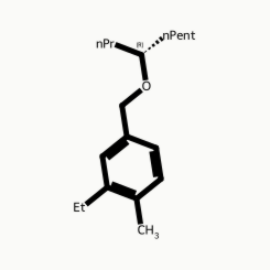 CCCCC[C@@H](CCC)OCc1ccc(C)c(CC)c1